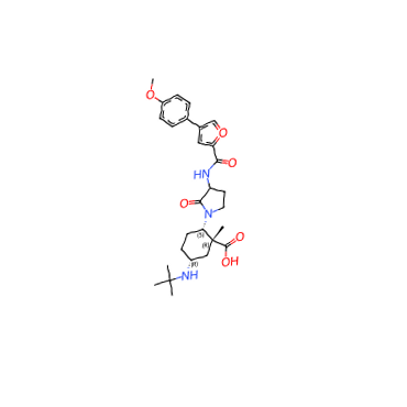 COc1ccc(-c2coc(C(=O)NC3CCN([C@H]4CC[C@@H](NC(C)(C)C)C[C@@]4(C)C(=O)O)C3=O)c2)cc1